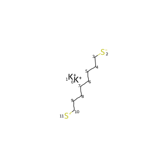 [K+].[K+].[S-]CCCCCCCC[S-]